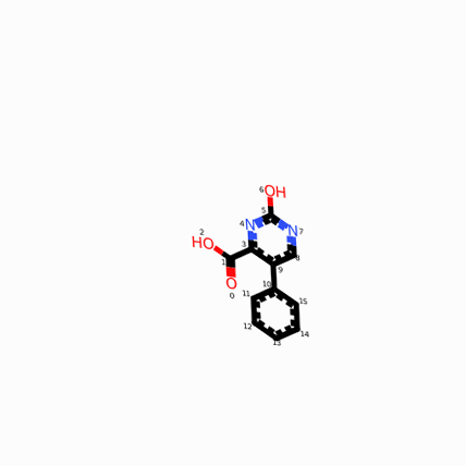 O=C(O)c1nc(O)ncc1-c1ccccc1